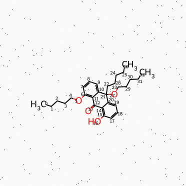 CCCCCOc1cccc2c1C(=O)c1c(O)cccc1C2(CCCCC)OCCCCC